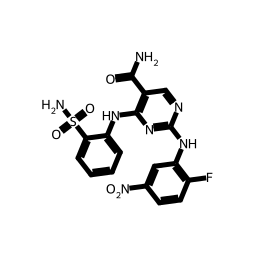 NC(=O)c1cnc(Nc2cc([N+](=O)[O-])ccc2F)nc1Nc1ccccc1S(N)(=O)=O